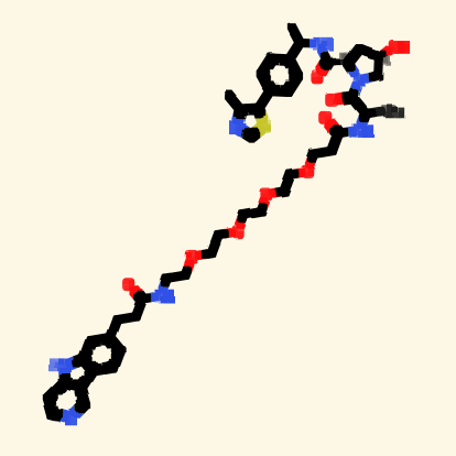 Cc1ncsc1-c1ccc(C(C)NC(=O)[C@@H]2C[C@@H](O)CN2C(=O)C(NC(=O)CCOCCOCCOCCOCCNC(=O)CCc2ccc3c(c2)[nH]c2ccncc23)C(C)(C)C)cc1